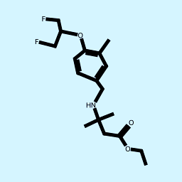 CCOC(=O)CC(C)(C)NCc1ccc(OC(CF)CF)c(C)c1